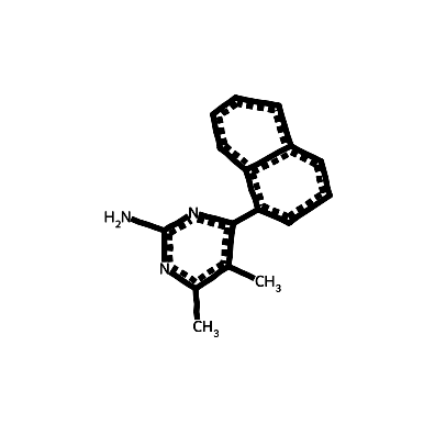 Cc1nc(N)nc(-c2cccc3ccccc23)c1C